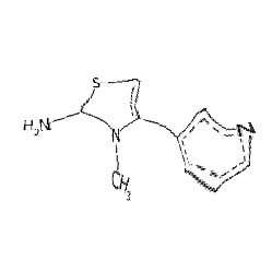 CN1C(c2cccnc2)=CSC1N